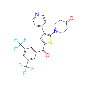 O=C1CCN(c2sc(C(=O)c3cc(C(F)(F)F)cc(C(F)(F)F)c3)cc2-c2ccncc2)CC1